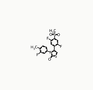 Cc1ccc(-n2c(-c3cc(F)c(S(C)(=O)=O)cc3F)csc2=O)cc1F